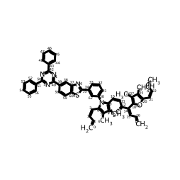 C=C/C=C\c1c(C)c(C)c(/C=C\C(=C)/C(=C/C=C)c2oc(/C=C\BC)c(C)c2C)n1-c1cccc(-c2nc3cc(-c4nc(-c5ccccc5)nc(-c5ccccc5)n4)ccc3s2)c1